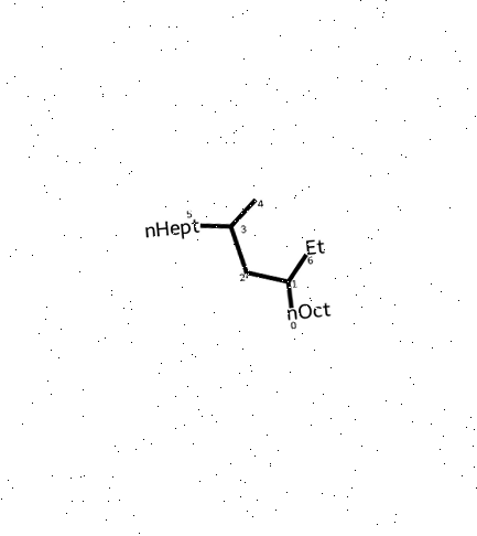 CCCCCCCCC([CH]C(C)CCCCCCC)CC